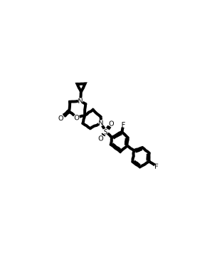 O=C1CN(C2CC2)CC2(CCN(S(=O)(=O)c3ccc(-c4ccc(F)cc4)cc3F)CC2)O1